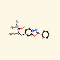 CCOC(=O)C(Cc1ccc2nc(-c3ccccc3)oc2c1)C(=O)N(CC)CC